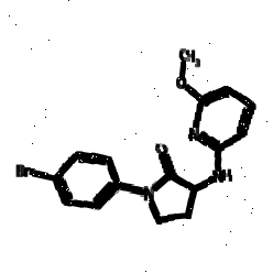 COc1cccc(NC2CCN(c3ccc(Br)cc3)C2=O)n1